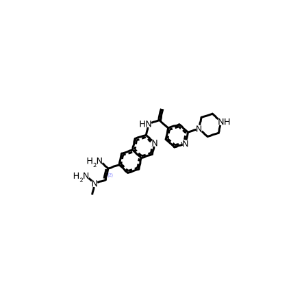 C=C(Nc1cc2cc(/C(N)=C/N(C)N)ccc2cn1)c1ccnc(N2CCNCC2)c1